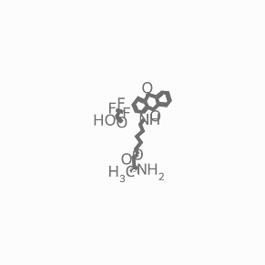 C[C@H](N)C(=O)OCCCCCNc1cccc2c1C(=O)c1ccccc1C2=O.O=C(O)C(F)(F)F